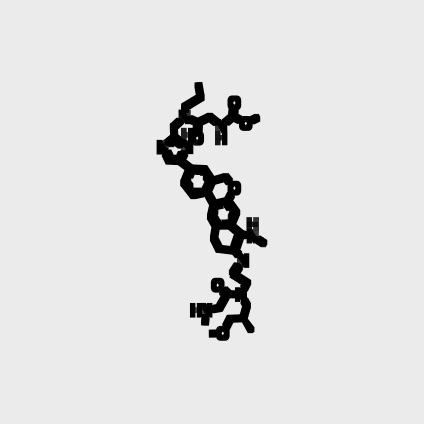 CCCN(Cc1ncc(-c2ccc3c(c2)COc2cc4c(cc2-3)CCC(/N=C/CN(C[C@@H](C)COC)C(=O)CNC)=C4NC)[nH]1)C(=O)CNC(=O)OC